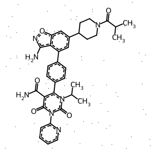 CC(C)C(=O)N1CCC(c2cc(-c3ccc(-c4c(C(N)=O)c(=O)n(-c5ccccn5)c(=O)n4C(C)C)cc3)c3c(N)noc3c2)CC1